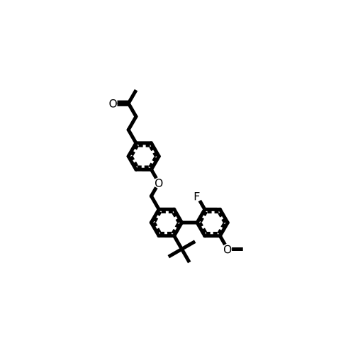 COc1ccc(F)c(-c2cc(COc3ccc(CCC(C)=O)cc3)ccc2C(C)(C)C)c1